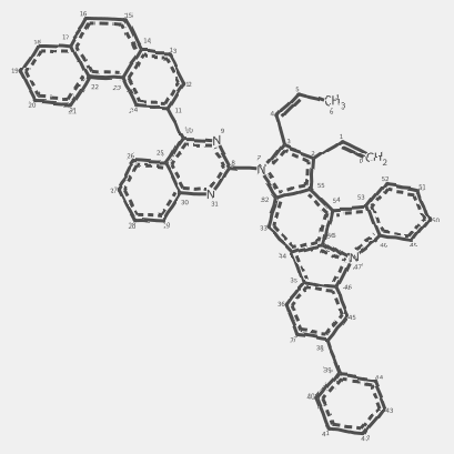 C=Cc1c(/C=C\C)n(-c2nc(-c3ccc4ccc5ccccc5c4c3)c3ccccc3n2)c2cc3c4ccc(-c5ccccc5)cc4n4c5ccccc5c(c12)c34